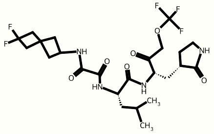 CC(C)C[C@H](NC(=O)C(=O)NC1CC2(C1)CC(F)(F)C2)C(=O)N[C@@H](C[C@@H]1CCNC1=O)C(=O)COC(F)(F)F